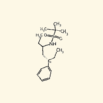 CCC(C[C@H](CC)c1ccccc1)NS(=O)(=O)C(C)(C)C